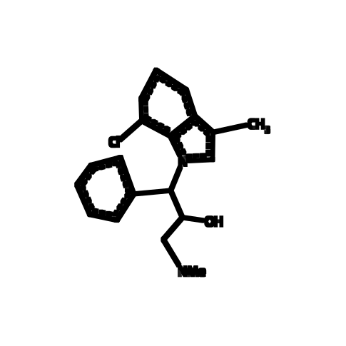 CNCC(O)C(c1ccccc1)n1cc(C)c2cccc(Cl)c21